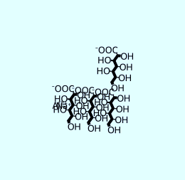 O=C([O-])[C@H](O)[C@H](O)[C@H](O)[C@@H](O)[C@H](O)CO.O=C([O-])[C@H](O)[C@H](O)[C@H](O)[C@@H](O)[C@H](O)CO.O=C([O-])[C@H](O)[C@H](O)[C@H](O)[C@@H](O)[C@H](O)CO.O=C([O-])[C@H](O)[C@H](O)[C@H](O)[C@@H](O)[C@H](O)CO.[Al+3].[Na+]